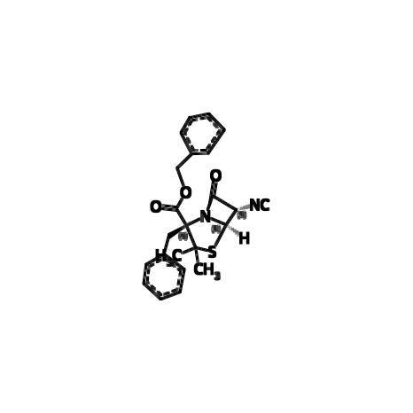 [C-]#[N+][C@H]1C(=O)N2[C@@H]1SC(C)(C)[C@]2(Cc1ccccc1)C(=O)OCc1ccccc1